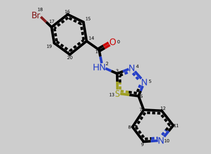 O=C(Nc1nnc(-c2ccncc2)s1)c1ccc(Br)cc1